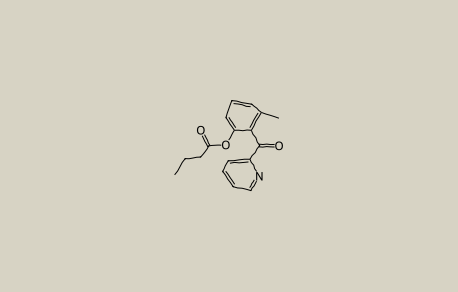 CCCC(=O)Oc1cccc(C)c1C(=O)c1ccccn1